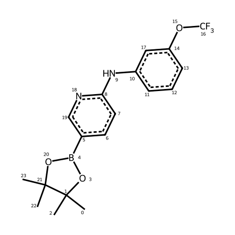 CC1(C)OB(c2ccc(Nc3cccc(OC(F)(F)F)c3)nc2)OC1(C)C